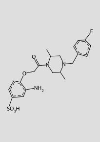 CC1CN(C(=O)COc2ccc(S(=O)(=O)O)cc2N)C(C)CN1Cc1ccc(F)cc1